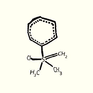 C=S(C)(C)(Cl)c1ccccc1